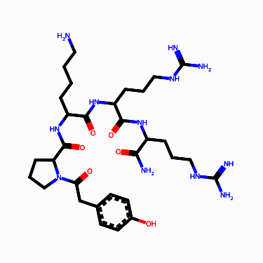 N=C(N)NCCCC(NC(=O)C(CCCNC(=N)N)NC(=O)C(CCCCN)NC(=O)C1CCCN1C(=O)Cc1ccc(O)cc1)C(N)=O